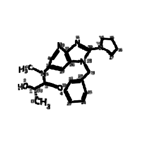 C[C@H](O)C(=O)N(C)c1cnc2nc(N3CCCC3)n(Cc3ccccc3)c2c1